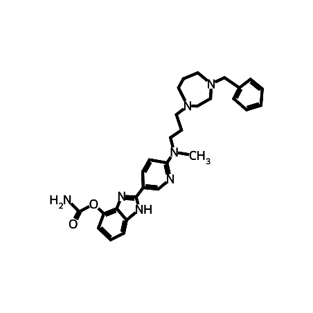 CN(CCCN1CCCN(Cc2ccccc2)CC1)c1ccc(-c2nc3c(OC(N)=O)cccc3[nH]2)cn1